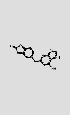 Nc1nc(Cc2ccc3c(c2)=CC(=O)N=3)nc2nc[nH]c12